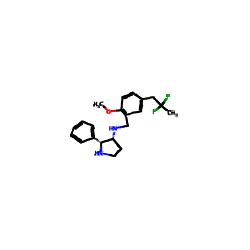 COc1ccc(CC(C)(F)F)cc1CN[C@@H]1CCN[C@@H]1c1ccccc1